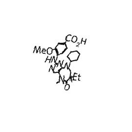 CC[C@]1(C)CN(C2CCCCC2)c2nc(Nc3ccc(C(=O)O)cc3OC)ncc2N(C)C1=O